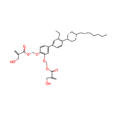 C=C(CO)C(=O)OCOc1ccc(-c2ccc(C3CCC(CCCCCCC)CC3)c(CC)c2)cc1OCOC(=O)C(=C)CO